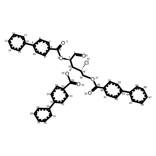 O=C[C@H](OC(=O)c1ccc(-c2ccccc2)cc1)[C@@H](OC(=O)c1ccc(-c2ccccc2)cc1)[C@H](Cl)COC(=O)c1ccc(-c2ccccc2)cc1